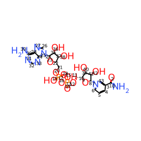 NC(=O)c1ccc[n+]([C@@H]2O[C@H](COP(=O)(O)OP(=O)(O)OC[C@H]3O[C@@H](n4cnc5c(N)ncnc54)C(O)[C@H]3O)C(O)C2O)c1